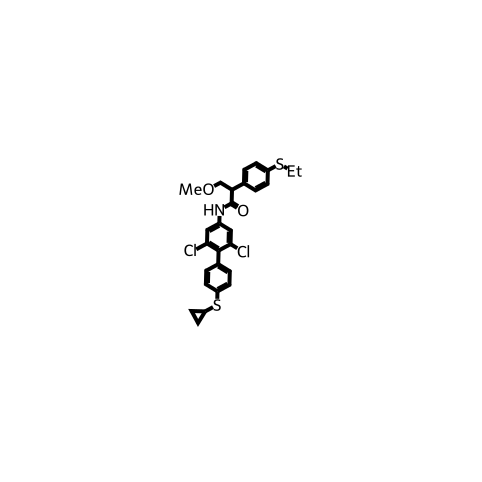 CCSc1ccc(C(COC)C(=O)Nc2cc(Cl)c(-c3ccc(SC4CC4)cc3)c(Cl)c2)cc1